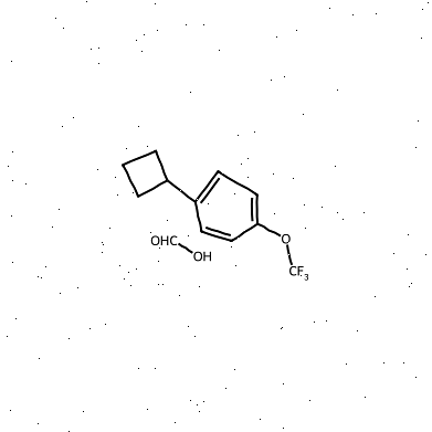 FC(F)(F)Oc1ccc(C2CCC2)cc1.O=CO